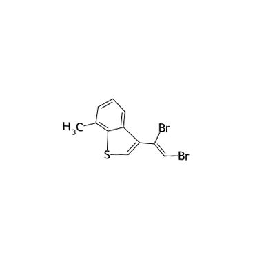 Cc1cccc2c(/C(Br)=C/Br)csc12